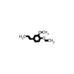 C=COc1ccc(/C=C/C)cc1OC